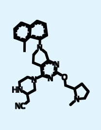 Cc1cccc2cccc(N3CCc4c(nc(OCC5CCCN5C)nc4N4CCNC(CC#N)C4)C3)c12